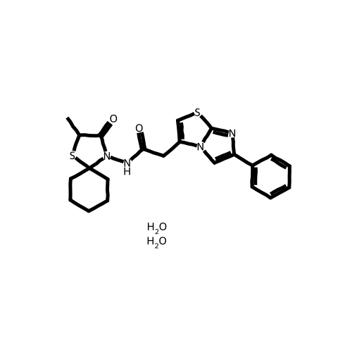 CC1SC2(CCCCC2)N(NC(=O)Cc2csc3nc(-c4ccccc4)cn23)C1=O.O.O